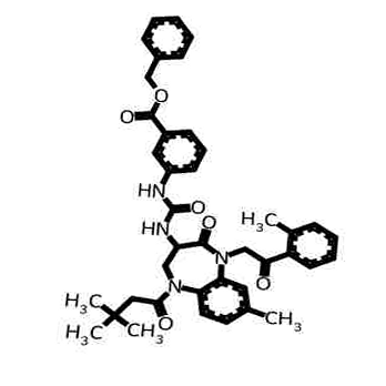 Cc1ccc2c(c1)N(CC(=O)c1ccccc1C)C(=O)C(NC(=O)Nc1cccc(C(=O)OCc3ccccc3)c1)CN2C(=O)CC(C)(C)C